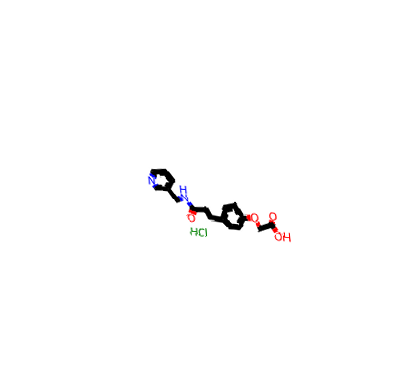 Cl.O=C(O)COc1ccc(C=CC(=O)NCc2cccnc2)cc1